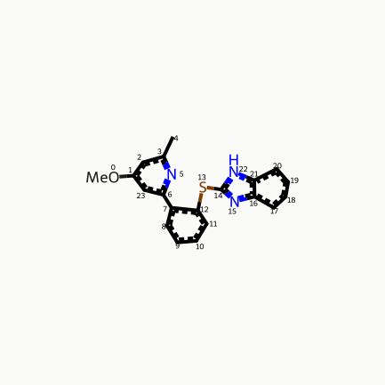 COc1cc(C)nc(-c2ccccc2Sc2nc3ccccc3[nH]2)c1